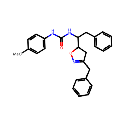 COc1ccc(NC(=O)NC(Cc2ccccc2)C2CC(Cc3ccccc3)=NO2)cc1